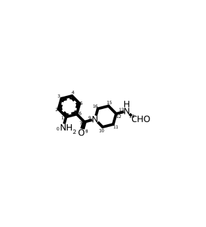 Nc1ccccc1C(=O)N1CCC(NC=O)CC1